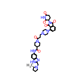 C[C@H]1CCCN1Cc1nc2cc(NC(=O)C3CCN(C(=O)CCN4CCN(c5cccc6c5C(=O)N(C5CCC(=O)NC5=O)C6=O)CC4)CC3)ccc2[nH]1